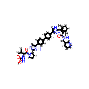 COC(=O)N[C@H](C(=O)N1CCC[C@H]1c1ncc(-c2ccc(-c3ccc(-c4cnc(C5[C@H]6CC[C@H](C6)[C@H]5C(=O)NCc5cccnc5)[nH]4)cc3)cc2)[nH]1)C(C)C